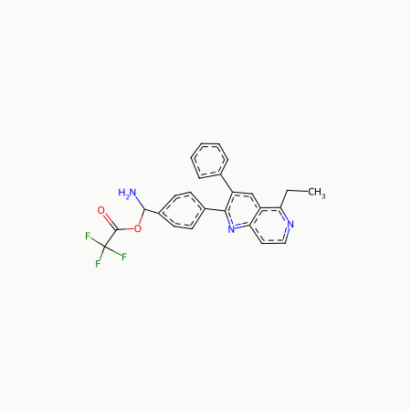 CCc1nccc2nc(-c3ccc(C(N)OC(=O)C(F)(F)F)cc3)c(-c3ccccc3)cc12